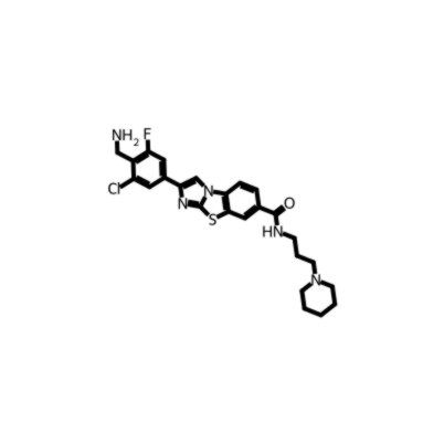 NCc1c(F)cc(-c2cn3c(n2)sc2cc(C(=O)NCCCN4CCCCC4)ccc23)cc1Cl